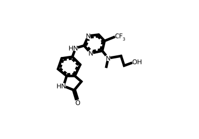 CN(CCO)c1nc(Nc2ccc3c(c2)CC(=O)N3)ncc1C(F)(F)F